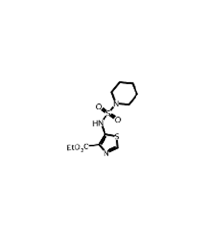 CCOC(=O)c1ncsc1NS(=O)(=O)N1CCCCC1